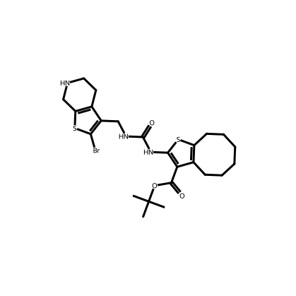 CC(C)(C)OC(=O)c1c(NC(=O)NCc2c(Br)sc3c2CCNC3)sc2c1CCCCCC2